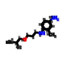 CCCCC(CC)COCCCNc1ccc(N)cc1C